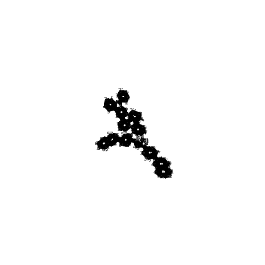 c1ccc(-n2c3ccccc3c3cc(-c4ccccc4-c4ccccc4-c4ccc(-n5nc(-c6ccc(-c7ccc8ccccc8c7)cc6)cc5-c5ccc(-c6ccc7ccccc7c6)cc5)cc4)ccc32)cc1